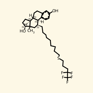 C[C@]12C[C@H](CCCCCCCCCSCCCC(F)(F)C(F)(F)F)[C@@H]3c4ccc(O)cc4CC[C@H]3[C@@H]1CC[C@@H]2O